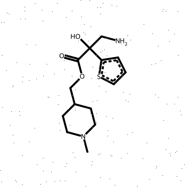 CN1CCC(COC(=O)C(O)(CN)c2cccs2)CC1